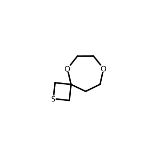 C1COC2(CCO1)CSC2